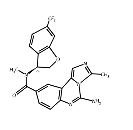 Cc1ncc2c3cc(C(=O)N(C)[C@@H]4COc5cc(C(F)(F)F)ccc54)ccc3nc(N)n12